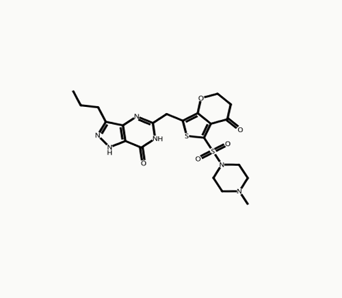 CCCc1n[nH]c2c(=O)[nH]c(Cc3sc(S(=O)(=O)N4CCN(C)CC4)c4c3OCCC4=O)nc12